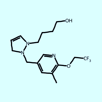 Cc1cc(CN2CC=CN2CCCCO)cnc1OCC(F)(F)F